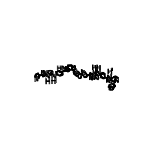 O=C(Nc1ccc(-c2cc3c(N4CCOC(c5ccc(-c6cc(NC(=O)Nc7ccc(-c8nc9c(N%10CCOCC%10)nccc9[nH]8)cc7)[nH]n6)cn5)C4)nccc3[nH]2)cc1)Nc1cc(-c2cccnc2)n[nH]1